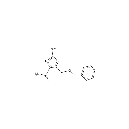 CCCc1nc(C(N)=O)c(COCc2ccccc2)s1